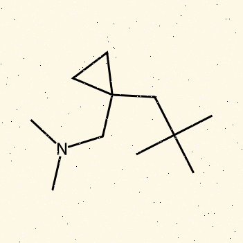 CN(C)CC1(CC(C)(C)C)CC1